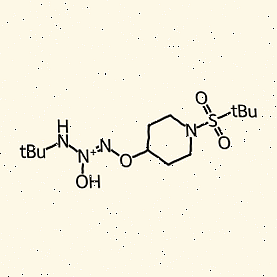 CC(C)(C)N/[N+](O)=N/OC1CCN(S(=O)(=O)C(C)(C)C)CC1